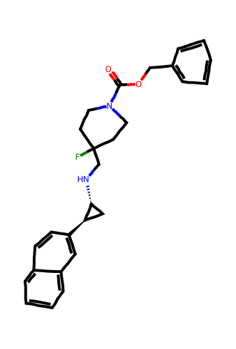 O=C(OCc1ccccc1)N1CCC(F)(CN[C@@H]2C[C@H]2c2ccc3ccccc3c2)CC1